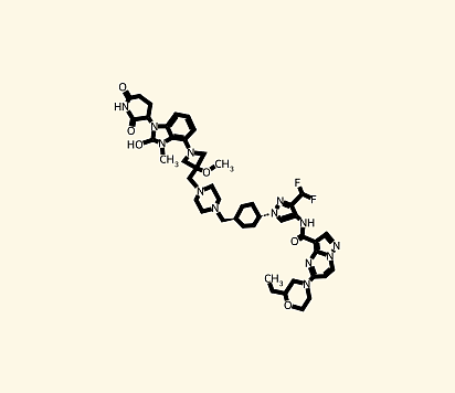 CCC1CN(c2ccn3ncc(C(=O)Nc4cn([C@H]5CC[C@H](CN6CCN(CC7(OC)CN(c8cccc9c8N(C)C(O)N9C8CCC(=O)NC8=O)C7)CC6)CC5)nc4C(F)F)c3n2)CCO1